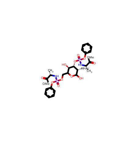 COC(=O)[C@H](C)NP(=O)(OCC1OC(O)[C@@H](NC(C)=O)[C@@H](OP(=O)(N[C@@H](C)C(=O)OC)Oc2ccccc2)[C@@H]1O)Oc1ccccc1